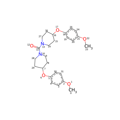 COc1ccc(OC2CCN(C(=O)N3CCC(Oc4ccc(OC)cc4)CC3)CC2)cc1